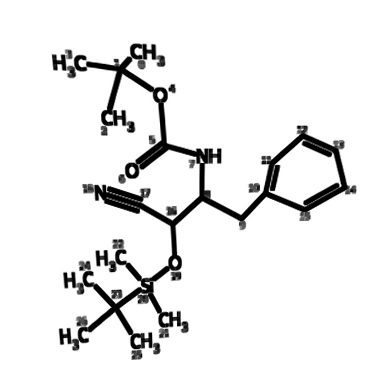 CC(C)(C)OC(=O)NC(Cc1ccccc1)C(C#N)O[Si](C)(C)C(C)(C)C